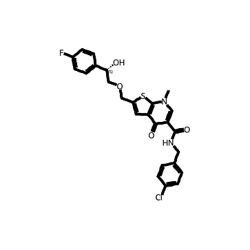 Cn1cc(C(=O)NCc2ccc(Cl)cc2)c(=O)c2cc(COC[C@@H](O)c3ccc(F)cc3)sc21